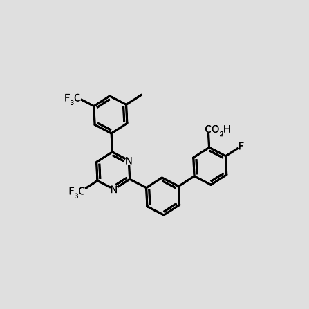 Cc1cc(-c2cc(C(F)(F)F)nc(-c3cccc(-c4ccc(F)c(C(=O)O)c4)c3)n2)cc(C(F)(F)F)c1